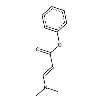 CN(C)C=CC(=O)Oc1ccccc1